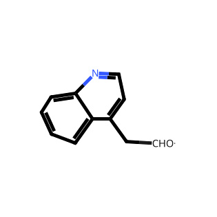 O=[C]Cc1ccnc2ccccc12